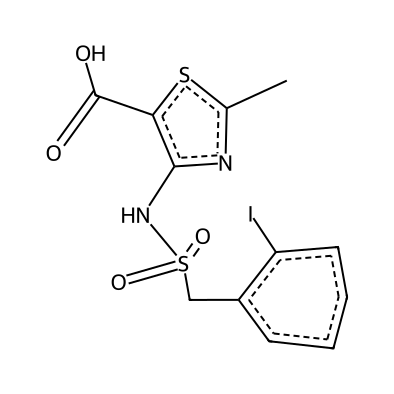 Cc1nc(NS(=O)(=O)Cc2ccccc2I)c(C(=O)O)s1